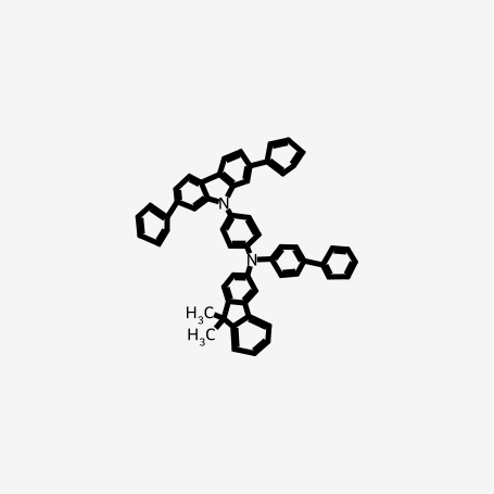 CC1(C)c2ccccc2-c2cc(N(c3ccc(-c4ccccc4)cc3)c3ccc(-n4c5cc(-c6ccccc6)ccc5c5ccc(-c6ccccc6)cc54)cc3)ccc21